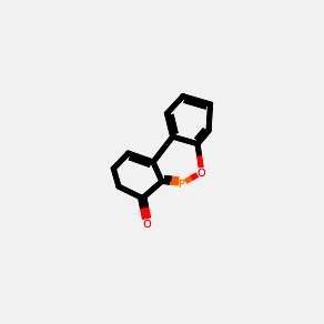 O=C1CCC=C2C1=POc1ccccc12